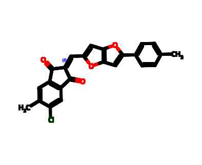 Cc1ccc(-c2cc3oc(/C=C4/C(=O)c5cc(C)c(Cl)cc5C4=O)cc3o2)cc1